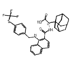 O=C(N[C@H](C(=O)O)C12CC3CC(CC(C3)C1)C2)c1ccc2ccccc2c1NCc1ccc(SC(F)(F)F)cc1